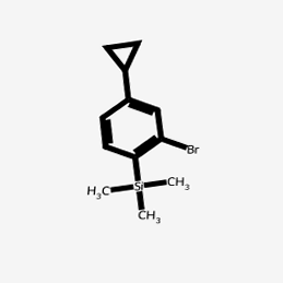 C[Si](C)(C)c1ccc(C2CC2)cc1Br